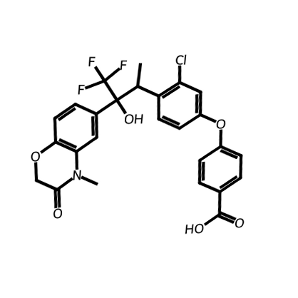 CC(c1ccc(Oc2ccc(C(=O)O)cc2)cc1Cl)C(O)(c1ccc2c(c1)N(C)C(=O)CO2)C(F)(F)F